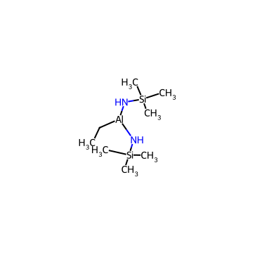 C[CH2][Al]([NH][Si](C)(C)C)[NH][Si](C)(C)C